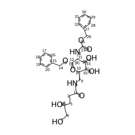 O=C(CC[C@H](O)CO)NC[C@H]1O[C@H](OCc2ccccc2)[C@H](NC(=O)OCc2ccccc2)[C@@H](O)[C@@H]1O